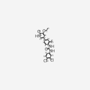 CCOc1cc(-c2ccc(NC(=O)Nc3ccc(Cl)c(Cl)c3)c(F)c2)c[nH]c1=O